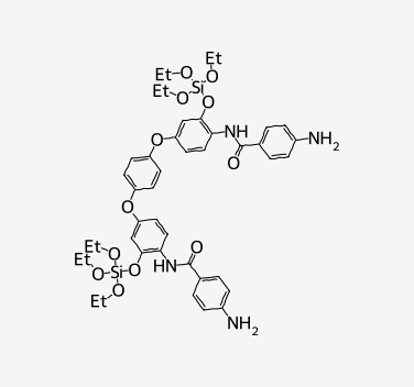 CCO[Si](OCC)(OCC)Oc1cc(Oc2ccc(Oc3ccc(NC(=O)c4ccc(N)cc4)c(O[Si](OCC)(OCC)OCC)c3)cc2)ccc1NC(=O)c1ccc(N)cc1